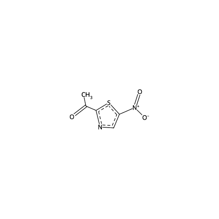 CC(=O)c1ncc([N+](=O)[O-])s1